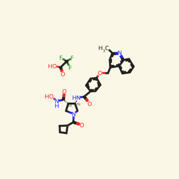 Cc1cc(COc2ccc(C(=O)N[C@@H]3CN(C(=O)C4CCC4)C[C@@H]3C(=O)NO)cc2)c2ccccc2n1.O=C(O)C(F)(F)F